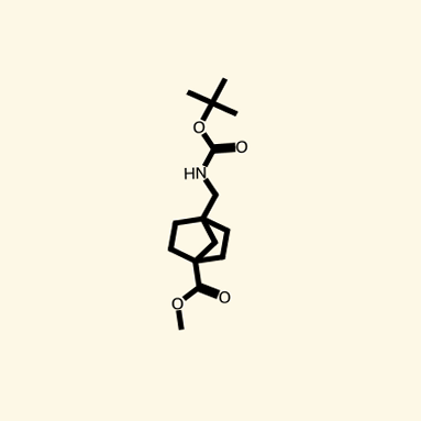 COC(=O)C12CCC(CNC(=O)OC(C)(C)C)(CC1)C2